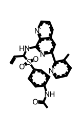 C=CC(Nc1nc(-c2ncccc2C)cc2cccnc12)S(=O)(=O)c1ccc(NC(C)=O)cc1